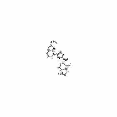 Cc1cn2cccc(-c3nsc(Nc4ccc5[nH]ncc5c4Cl)n3)c2n1